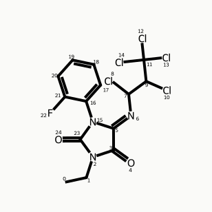 CCN1C(=O)/C(=N/C(Cl)C(Cl)C(Cl)(Cl)Cl)N(c2ccccc2F)C1=O